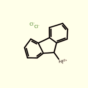 [Cl-].[Cl-].[Hf+2][CH]1c2ccccc2-c2ccccc21